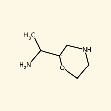 CC(N)[C]1CNCCO1